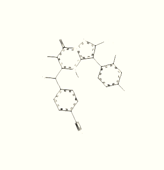 Cc1nn2c(=O)c(C)c(C(N)c3ccc(C#N)cc3)n(C)c2c1-c1ccc(F)cc1F